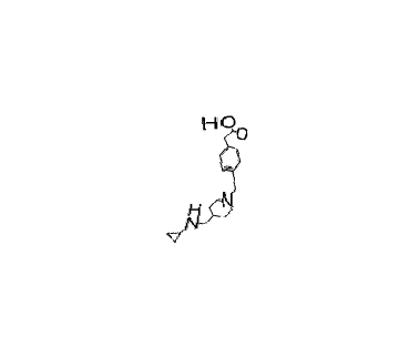 O=C(O)Cc1ccc(CN2CCC(CNC3CC3)CC2)cc1